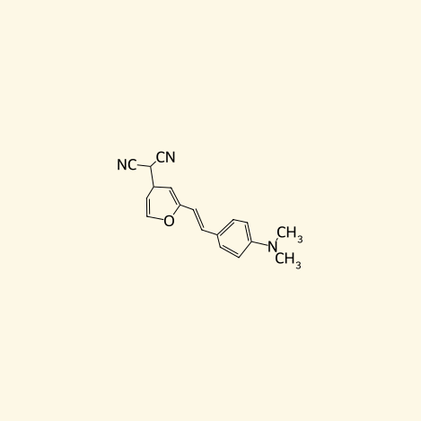 CN(C)c1ccc(C=CC2=CC(C(C#N)C#N)C=CO2)cc1